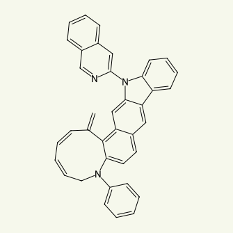 C=C1/C=C\C=C/CN(c2ccccc2)c2ccc3cc4c5ccccc5n(-c5cc6ccccc6cn5)c4cc3c21